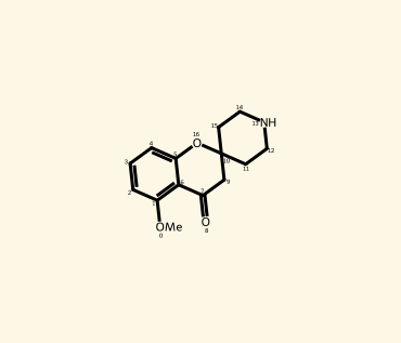 COc1cccc2c1C(=O)CC1(CCNCC1)O2